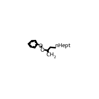 C=C(CCCCCCCCC)OOc1ccccc1